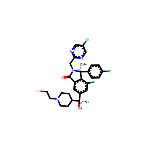 CC[C@@](O)(c1cc(F)c2c(c1)C(=O)N(Cc1ncc(Cl)cn1)[C@@]2(OC)c1ccc(Cl)cc1)C1CCN(CCO)CC1